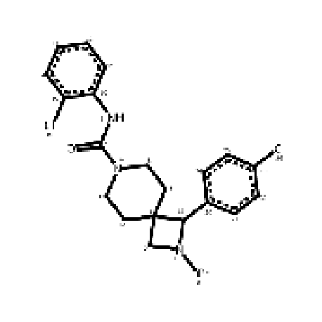 CC(C)N1CC2(CCN(C(=O)Nc3ccccc3Cl)CC2)C1c1ccc(Cl)cc1